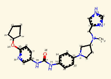 CN(Cc1c[nH]cn1)C1CCN(c2ccc(NC(=O)Nc3ccc(OC4CCCC4)nc3)cc2)C1